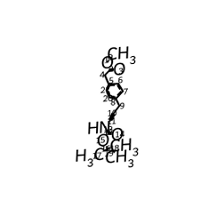 COC(=O)Cc1ccc(CC#CNC(=O)OC(C)(C)C)cc1